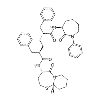 O=C(N[C@H]1CCCCN(c2ccccc2)C1=O)[C@H](CC[C@H](Cc1ccccc1)C(=O)N[C@H]1CCS[C@H]2CCCCN2C1=O)Cc1ccccc1